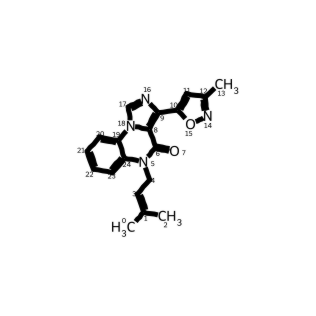 CC(C)=CCn1c(=O)c2c(-c3cc(C)no3)ncn2c2ccccc21